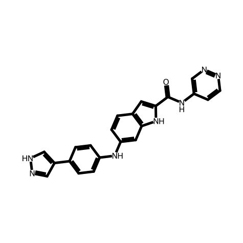 O=C(Nc1ccnnc1)c1cc2ccc(Nc3ccc(-c4cn[nH]c4)cc3)cc2[nH]1